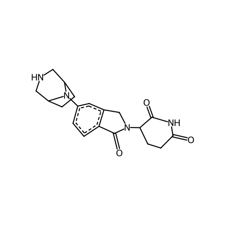 O=C1CCC(N2Cc3cc(N4C5CCC4CNC5)ccc3C2=O)C(=O)N1